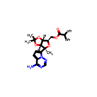 CCCC(CCC)C(=O)OC[C@H]1O[C@@](C)(c2ccc3c(N)ncnn23)[C@@H]2OC(C)(C)O[C@@H]21